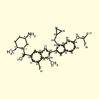 C[C@H]1CC[C@@H](N)CN1C(=O)c1cc(F)c2c(c1)nc(-c1cc3ccc(OC(F)F)nc3n1CC1CC1)n2C